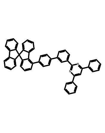 c1ccc(-c2cc(-c3ccccc3)nc(-c3cccc(-c4ccc(-c5cccc6c5-c5ccccc5C65c6ccccc6-c6ccccc65)cc4)c3)n2)cc1